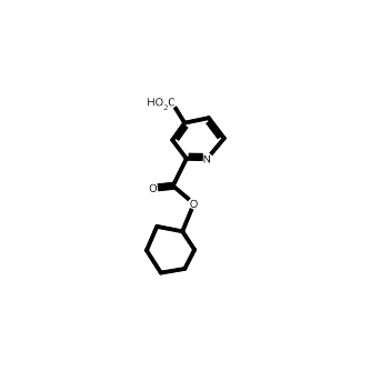 O=C(O)c1ccnc(C(=O)OC2CCCCC2)c1